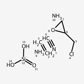 C#N.C=C.ClCC1CO1.N.N.O=[Si](O)O